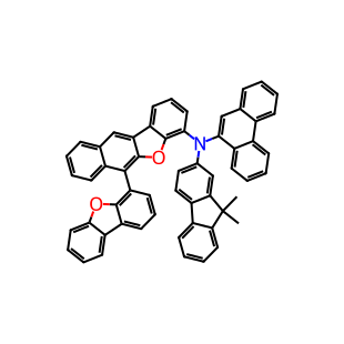 CC1(C)c2ccccc2-c2ccc(N(c3cc4ccccc4c4ccccc34)c3cccc4c3oc3c(-c5cccc6c5oc5ccccc56)c5ccccc5cc34)cc21